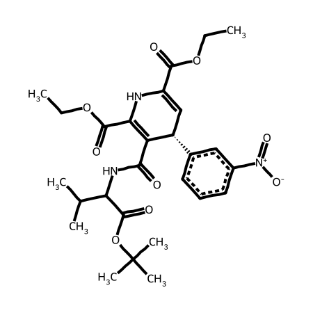 CCOC(=O)C1=C[C@H](c2cccc([N+](=O)[O-])c2)C(C(=O)NC(C(=O)OC(C)(C)C)C(C)C)=C(C(=O)OCC)N1